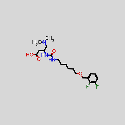 CN(C)CC(CC(=O)O)NC(=O)NCCCCCCOCc1cccc(F)c1F